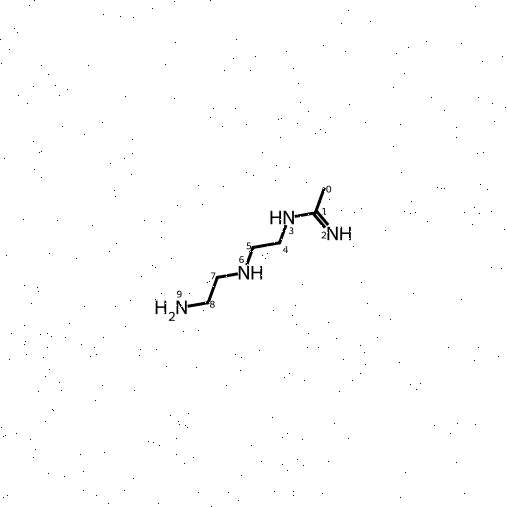 CC(=N)NCCNCCN